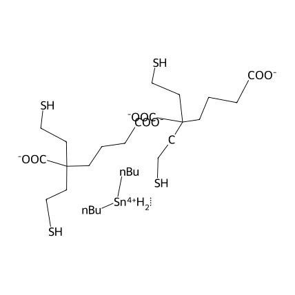 CCC[CH2][SnH2+4][CH2]CCC.O=C([O-])CCCC(CCS)(CCS)C(=O)[O-].O=C([O-])CCCC(CCS)(CCS)C(=O)[O-]